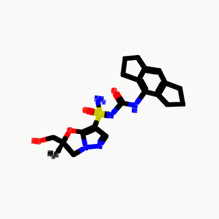 C[C@]1(CO)Cn2ncc(S(N)(=O)=NC(=O)Nc3c4c(cc5c3CCC5)CCC4)c2O1